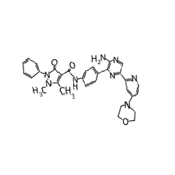 Cc1c(C(=O)Nc2ccc(-c3nc(-c4cc(N5CCOCC5)ccn4)cnc3N)cc2)c(=O)n(-c2ccccc2)n1C